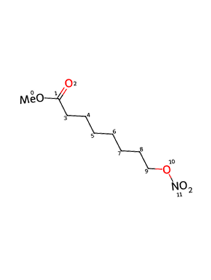 COC(=O)CCCCCCCO[N+](=O)[O-]